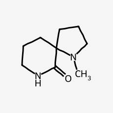 CN1CCCC12CCCNC2=O